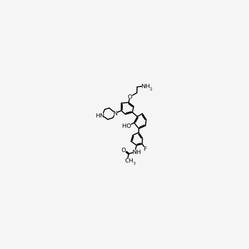 CC(=O)Nc1ccc(-c2cccc(-c3cc(OCCN)cc(N4CCNCC4)c3)c2O)cc1F